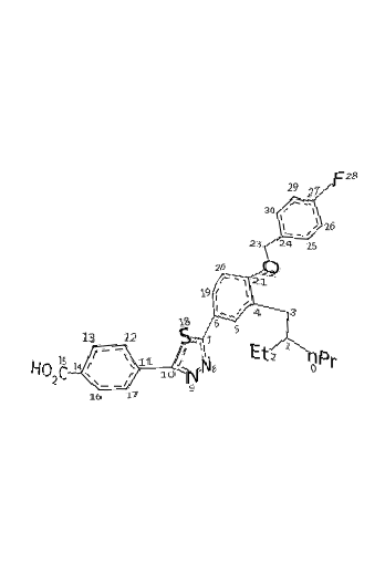 CCCC(CC)Cc1cc(-c2nnc(-c3ccc(C(=O)O)cc3)s2)ccc1OCc1ccc(F)cc1